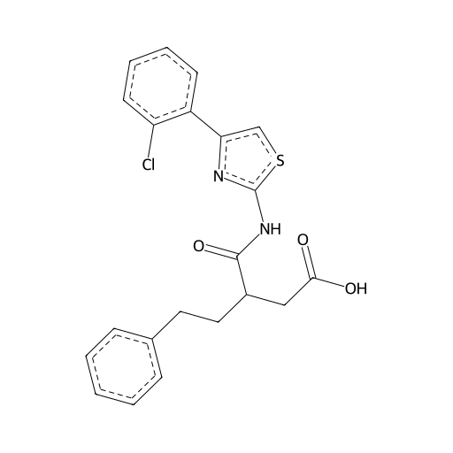 O=C(O)CC(CCc1ccccc1)C(=O)Nc1nc(-c2ccccc2Cl)cs1